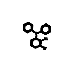 CCc1c(Br)cccc1P(c1ccccc1)c1ccccc1